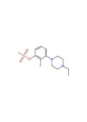 CCN1CCN(c2cccc(OS(C)(=O)=O)c2F)CC1